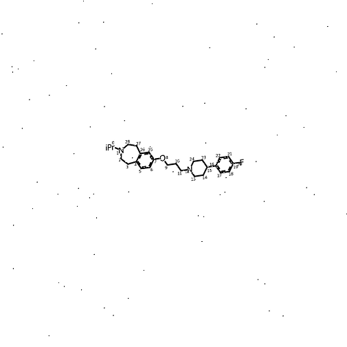 CC(C)N1CCc2ccc(OCCCN3CCC(c4ccc(F)cc4)CC3)cc2CC1